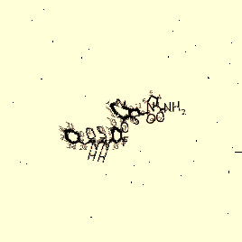 NC(=O)[C@@H]1CCCN1C(=O)c1cc2nccc(Oc3ccc(NC(=S)NC(=O)Cc4ccccc4)cc3F)c2s1